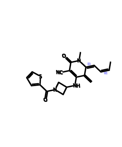 C=c1c(NC2CN(C(=O)c3cccs3)C2)c(C#N)c(=O)n(C)/c1=C/C=C\C